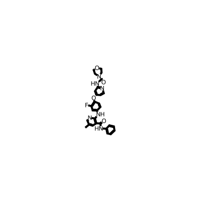 Cc1cnc(Nc2ccc(Oc3ccnc(NC(=O)N4CCOCC4)c3)c(F)c2)c(C(=O)Nc2ccccc2)c1